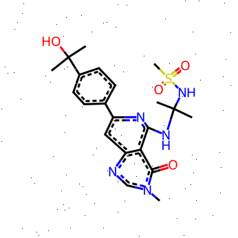 Cn1cnc2cc(-c3ccc(C(C)(C)O)cc3)nc(NC(C)(C)NS(C)(=O)=O)c2c1=O